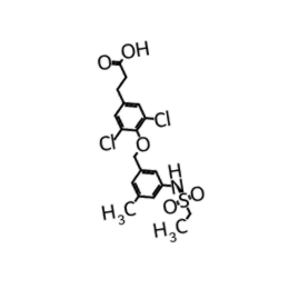 CCS(=O)(=O)Nc1cc(C)cc(COc2c(Cl)cc(CCC(=O)O)cc2Cl)c1